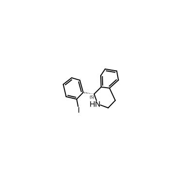 Ic1ccccc1[C@H]1NCCc2ccccc21